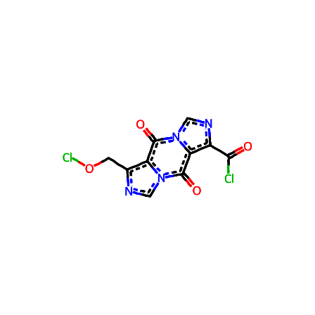 O=C(Cl)c1ncn2c(=O)c3c(COCl)ncn3c(=O)c12